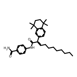 CCCCCCCC/C=C(/C(=O)Nc1ccc(C(N)=O)cc1)c1ccc2c(c1)C(C)(C)CCC2(C)C